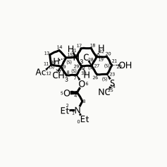 CCN(CC)CC(=O)O[C@H]1C[C@]2(C)[C@@H](C(C)=O)CC[C@H]2[C@@H]2CC[C@H]3C[C@H](O)[C@@H](SC#N)C[C@]3(C)[C@H]21